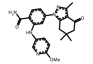 COc1ccc(Nc2cc(-n3nc(C)c4c3CC(C)(C)CC4=O)ccc2C(N)=O)cn1